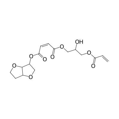 C=CC(=O)OCC(O)COC(=O)/C=C\C(=O)OC1COC2CCOC21